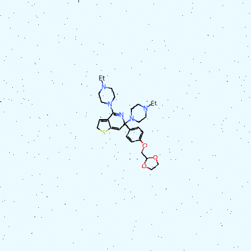 CCN1CCN(C2=NC(c3ccc(OCC4OCCO4)cc3)(N3CCN(CC)CC3)C=C3SCC=C32)CC1